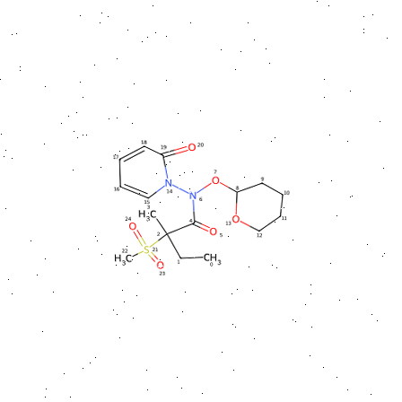 CCC(C)(C(=O)N(OC1CCCCO1)n1ccccc1=O)S(C)(=O)=O